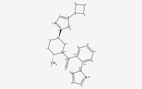 C[C@@H]1CC[C@@H](c2ncc(C3CCC3)o2)CN1C(=O)c1ccccc1-n1nccn1